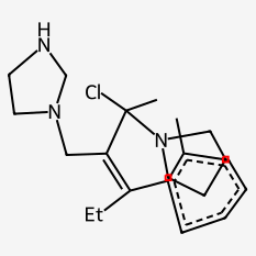 CC/C(=C(\CN1CCNC1)C(C)(Cl)N1CCCC1)c1ccccc1C